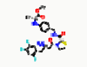 CC(C)OC(=O)[C@H](Nc1ccc(CNC(=O)[C@@H]2SCCN2C(=O)C[C@H](N)Cc2cc(F)c(F)cc2F)cc1)C(C)C